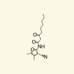 CCCCCCC(=O)CC(=O)Nc1oc(C)c(C)c1C#N